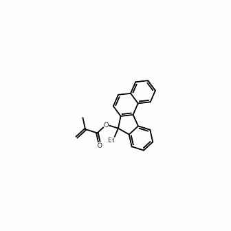 C=C(C)C(=O)OC1(CC)c2ccccc2-c2c1ccc1ccccc21